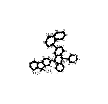 CC1(C)c2ccccc2-c2ccc(-c3c4ccccc4c(-c4cncnc4)c4ccc(-c5cccc6ccccc56)cc34)cc21